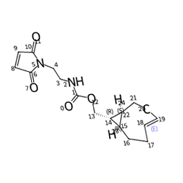 O=C(NCCN1C(=O)C=CC1=O)OC[C@H]1[C@@H]2CC/C=C/CC[C@@H]21